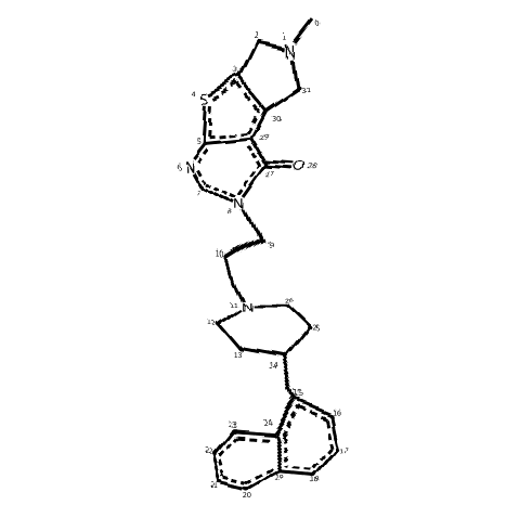 CN1Cc2sc3ncn(CCN4CCC(c5cccc6ccccc56)CC4)c(=O)c3c2C1